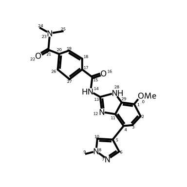 COc1ccc(-c2cnn(C)c2)c2nc(NC(=O)c3ccc(C(=O)N(C)C)cc3)[nH]c12